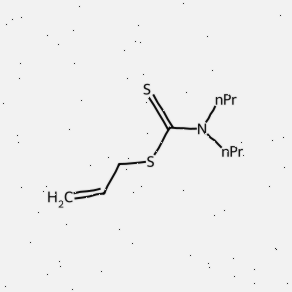 C=CCSC(=S)N(CCC)CCC